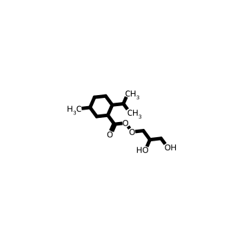 CC1CCC(C(C)C)C(C(=O)OOCC(O)CO)C1